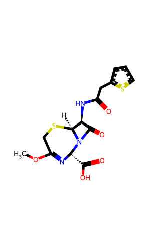 COC1=N[C@@H](C(=O)O)N2C(=O)[C@H](NC(=O)Cc3cccs3)[C@@H]2SC1